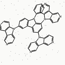 c1ccc(-n2c3ccc(-n4c5ccncc5c5cnccc54)cc3c3cc(-n4c5ccncc5c5cnccc54)cc(-n4c5ccncc5c5cnccc54)c32)cc1